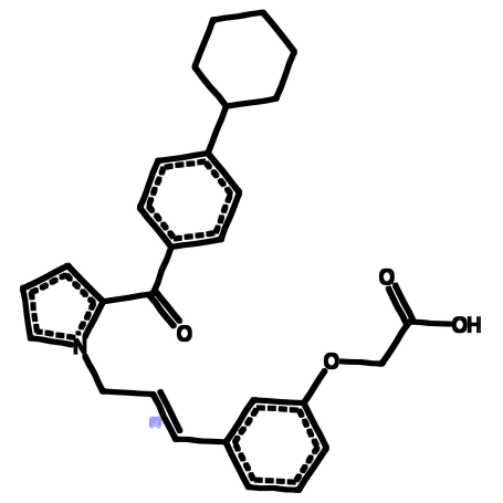 O=C(O)COc1cccc(/C=C/Cn2cccc2C(=O)c2ccc(C3CCCCC3)cc2)c1